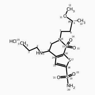 CCCNC1CN(CC[C@@H](C)OC)S(=O)(=O)c2sc(S(N)(=O)=O)cc21.Cl